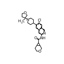 C[C@@]1(N2CCC(c3cc4cc(NC(=O)C5C6CCOCC65)ncc4cc3Cl)CC2)CCOC1